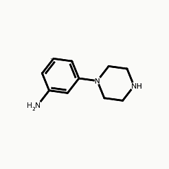 Nc1c[c]cc(N2CCNCC2)c1